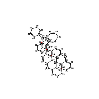 C1=CC2OC3C=CC(c4ccccc4)=CC3C3(c4ccccc4Oc4ccc(-c5cccc6c5c5c(n6C6=CCCC=C6)C=CCC5)cc43)C2C=C1